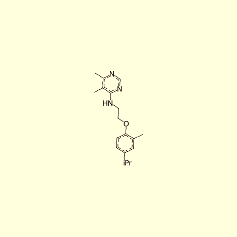 Cc1cc(C(C)C)ccc1OCCNc1ncnc(C)c1C